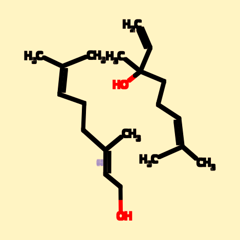 C=CC(C)(O)CCC=C(C)C.CC(C)=CCC/C(C)=C/CO